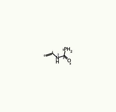 C=CNC(=O)P